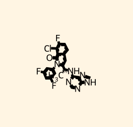 C[C@H](Nc1ncnc2[nH]cnc12)c1cc2ccc(F)c(Cl)c2c(=O)n1-c1cc(F)cc(F)c1